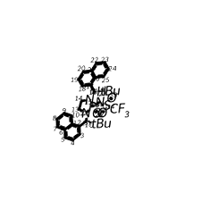 CC(C)(C)[C@@H](c1cccc2ccccc12)N1CCN([C@H](c2cccc3ccccc23)C(C)(C)C)P1(=O)NS(=O)(=O)C(F)(F)F